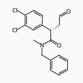 CN(Cc1ccccc1)C(=O)[C@@H](CC=O)c1ccc(Cl)c(Cl)c1